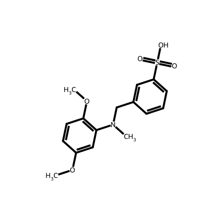 COc1ccc(OC)c(N(C)Cc2cccc(S(=O)(=O)O)c2)c1